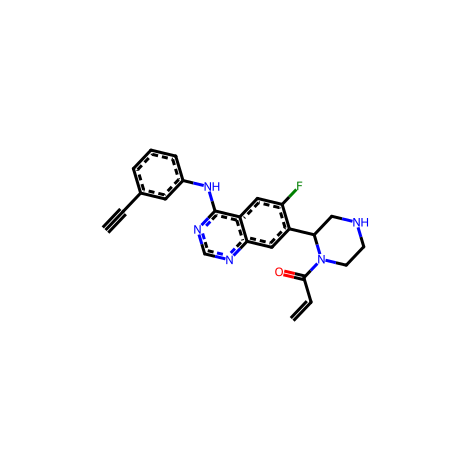 C#Cc1cccc(Nc2ncnc3cc(C4CNCCN4C(=O)C=C)c(F)cc23)c1